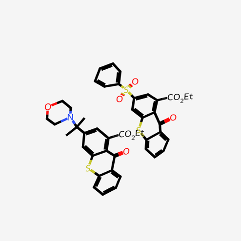 CCOC(=O)c1cc(C(C)(C)N2CCOCC2)cc2sc3ccccc3c(=O)c12.CCOC(=O)c1cc(S(=O)(=O)c2ccccc2)cc2sc3ccccc3c(=O)c12